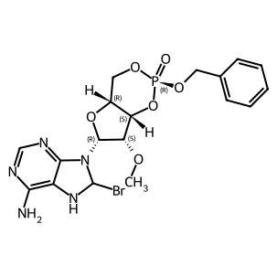 CO[C@H]1[C@H]2O[P@](=O)(OCc3ccccc3)OC[C@H]2O[C@H]1N1c2ncnc(N)c2NC1Br